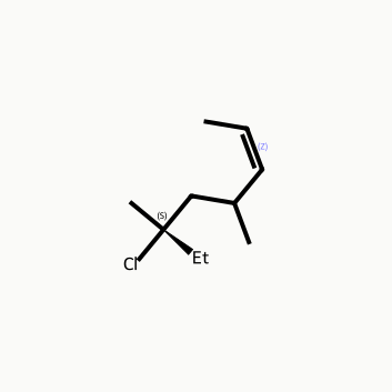 C/C=C\C(C)C[C@@](C)(Cl)CC